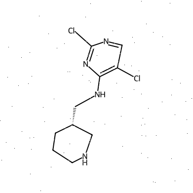 Clc1ncc(Cl)c(NC[C@H]2CCCNC2)n1